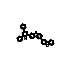 c1ccc(C2=NC(c3ccccc3)NC(c3ccc4c(c3)oc3ccc(-c5ccc6oc7ccccc7c6c5)cc34)=N2)cc1